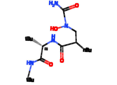 CCCCC(CN(O)C(N)=O)C(=O)N[C@H](C(=O)NC(C)(C)C)C(C)(C)C